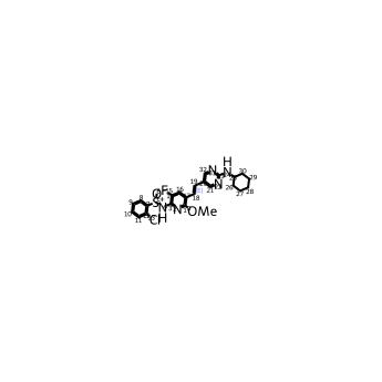 COc1nc(N[S+]([O-])c2ccccc2Cl)c(F)cc1/C=C/c1cnc(NC2CCCCC2)nc1